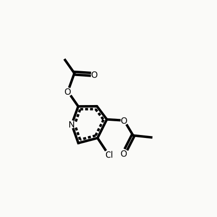 CC(=O)Oc1cc(OC(C)=O)c(Cl)cn1